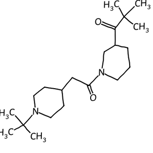 CC(C)(C)C(=O)C1CCCN(C(=O)CC2CCN(C(C)(C)C)CC2)C1